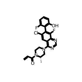 C=CC(=O)N1CCN(c2ncnc3c(F)c(-c4c(O)cccc4F)c(Cl)cc23)C[C@@H]1C